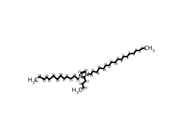 CCCCCCCCCCCCCCCCCCCN1C=CN(CCCCCCCCCCCCC)C1CCCC